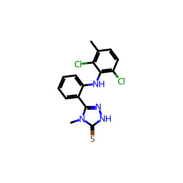 Cc1ccc(Cl)c(Nc2ccccc2-c2n[nH]c(=S)n2C)c1Cl